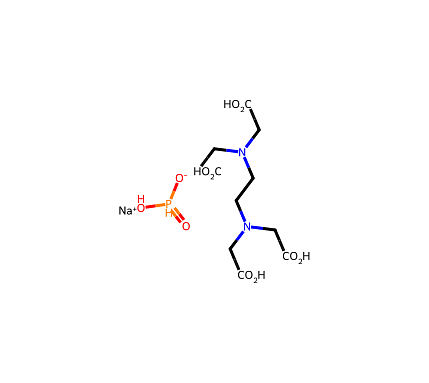 O=C(O)CN(CCN(CC(=O)O)CC(=O)O)CC(=O)O.O=[PH]([O-])O.[Na+]